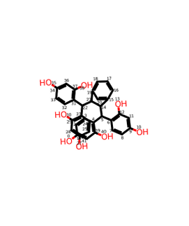 Oc1ccc(C(c2ccc(O)cc2O)C2c3cccc(c3)C2C(c2ccc(O)cc2O)c2ccc(O)cc2O)c(O)c1